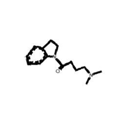 CN(C)CCCC(=O)N1CCc2c[c]ccc21